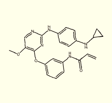 C=CC(=O)Nc1cccc(Oc2nc(Nc3ccc(NC4CC4)cc3)ncc2OC)c1